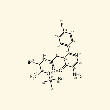 CC(C)C(NC(=O)Cn1c(-c2ccc(F)cc2)ncc(N)c1=O)C(O[Si](C)(C)C(C)(C)C)C(F)(F)F